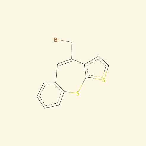 BrCC1=Cc2ccccc2Sc2sccc21